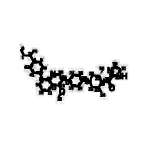 CCC(C)c1ccc(-c2cccc3c(OC)c(-c4ccc(N5CC(C)N(C(=O)c6ncc[nH]6)[C@@H](C)C5)cc4)cnc23)cc1